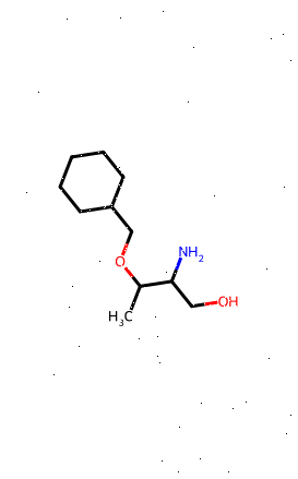 CC(OCC1CCCCC1)C(N)CO